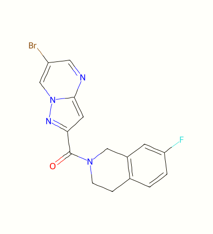 O=C(c1cc2ncc(Br)cn2n1)N1CCc2ccc(F)cc2C1